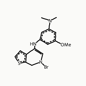 COc1cc(NC2=CN(Br)Cc3sccc32)cc(N(C)C)c1